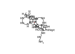 CCCCCCC[C@H]1C[C@H](CNCCNCCN)C([C@@]2(O)C[C@@H]3CNCCNCCNC[C@H]4C[C@H](C3[C@H](O)[C@H]2O)[C@H](O)[C@@H](O)C4[C@H]2O[C@@H]3CNCCNCCNC[C@H]4O[C@H](C3[C@H](O)[C@H]2O)[C@H](O)[C@@H](O)[C@@H]4C)[C@H](O)[C@H]1O